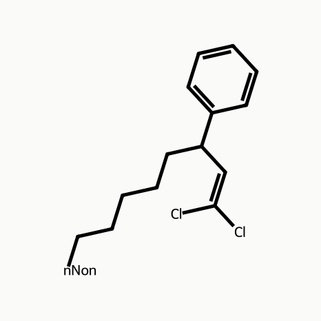 CCCCCCCCCCCCCCC(C=C(Cl)Cl)c1ccccc1